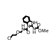 COC(=O)NC1Nc2ccccc2N1C(=O)NCOCCCl